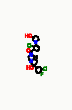 O=C(c1cccc(N2CCC[C@@H](O)C2)c1Cl)N1CCN2C[C@@](O)(c3ccc(F)c(Cl)c3)CC[C@@H]2C1